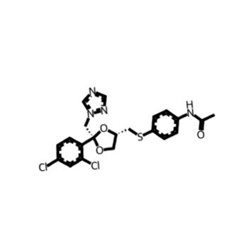 CC(=O)Nc1ccc(SC[C@@H]2CO[C@@](Cn3cncn3)(c3ccc(Cl)cc3Cl)O2)cc1